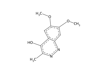 COc1cc2nnc(C)c(O)c2cc1OC